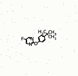 CC(C)(C)c1ccc(Oc2ncc(F)cn2)cc1